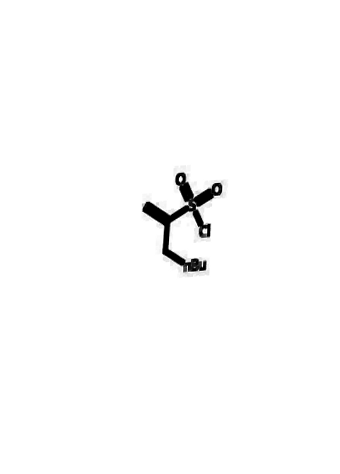 C=C(CCCCC)S(=O)(=O)Cl